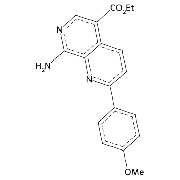 CCOC(=O)c1cnc(N)c2nc(-c3ccc(OC)cc3)ccc12